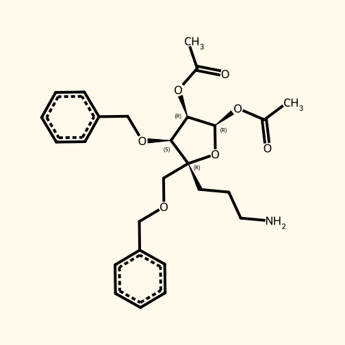 CC(=O)O[C@H]1O[C@](CCCN)(COCc2ccccc2)[C@@H](OCc2ccccc2)[C@H]1OC(C)=O